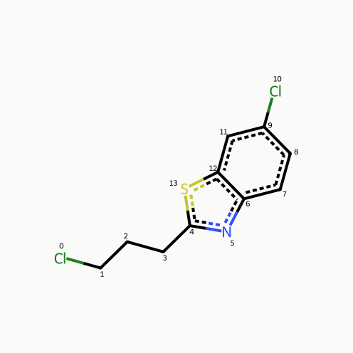 ClCCCc1nc2ccc(Cl)cc2s1